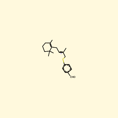 CC1=C(C/C=C(\C)CSc2ccc(C=O)cc2)C(C)(C)CCC1